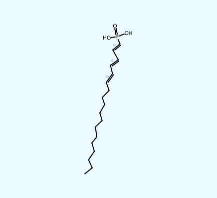 CCCCCCCCCCCC/C=C/C=C/C=C/P(=O)(O)O